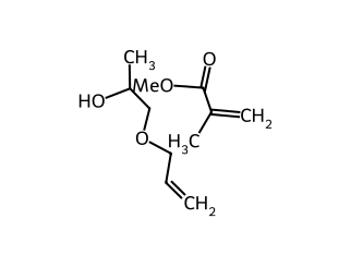 C=C(C)C(=O)OC.C=CCOCC(C)O